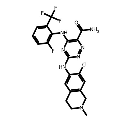 CN1CCc2cc(Nc3nnc(C(N)=O)c(Nc4c(F)cccc4C(F)(F)F)n3)c(Cl)cc2C1